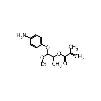 C=C(C)C(=O)OC(C)C(OCC)Oc1ccc(N)cc1